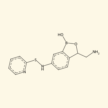 NCC1OB(O)c2cc(NSc3ccccn3)ccc21